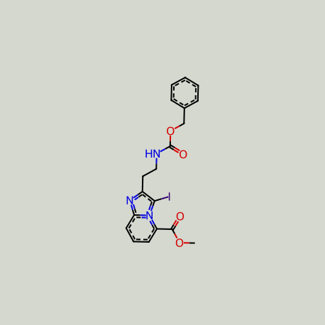 COC(=O)c1cccc2nc(CCNC(=O)OCc3ccccc3)c(I)n12